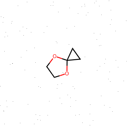 C1COC2(CC2)O1